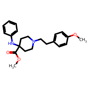 COC(=O)C1(Nc2ccccc2)CCN(CCc2ccc(OC)cc2)CC1